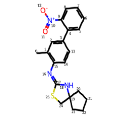 Cc1cc(-c2ccccc2[N+](=O)[O-])ccc1/N=C1\NC2(CCCC2)CS1